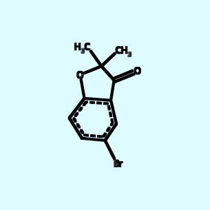 CC1(C)Oc2ccc(Br)cc2C1=O